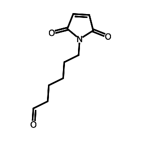 O=CCCCCCN1C(=O)C=CC1=O